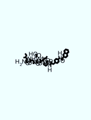 CCC(C)C(NC(=O)CN(C)C(=O)[C@H](CC(=O)O)NC(=O)[C@H]([C@@H](C)CC)N1CCC(NC(=O)Cc2ccc(NC(=O)c3ccc4ccccc4c3)cc2)C1=O)C(N)=O